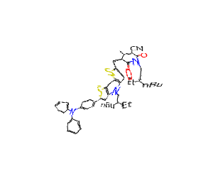 CCCCC(CC)CN1C(=O)C(C#N)=C(C)/C(=C/c2cc3c(s2)c2sc(-c4ccc(N(c5ccccc5)c5ccccc5)cc4)cc2n3CC(CC)CCCC)C1=O